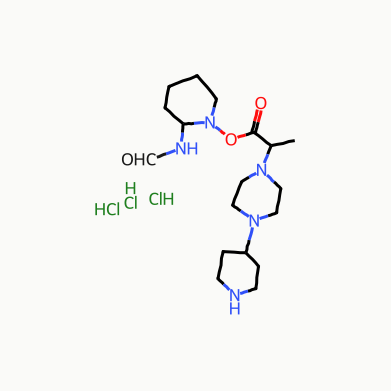 CC(C(=O)ON1CCCCC1NC=O)N1CCN(C2CCNCC2)CC1.Cl.Cl.Cl